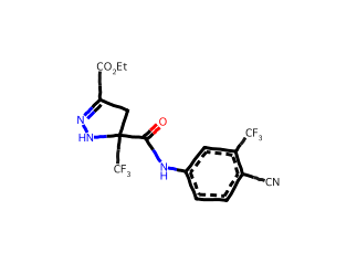 CCOC(=O)C1=NNC(C(=O)Nc2ccc(C#N)c(C(F)(F)F)c2)(C(F)(F)F)C1